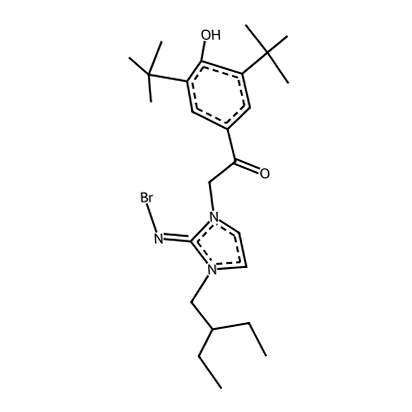 CCC(CC)Cn1ccn(CC(=O)c2cc(C(C)(C)C)c(O)c(C(C)(C)C)c2)/c1=N\Br